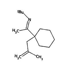 C=C(C)CC1(C(C)=NC(C)(C)C)CCCCC1